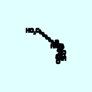 O=C(O)CCCCCCCCCCC(=O)Nc1cccc2c1CN(C1CCC(=O)NC1=O)C2=O